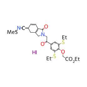 CCOC(=O)COc1c(SCC)cc(C(=O)CN2CC3=C(C=CC(=C=NSC)C3)C2=O)cc1SCC.I